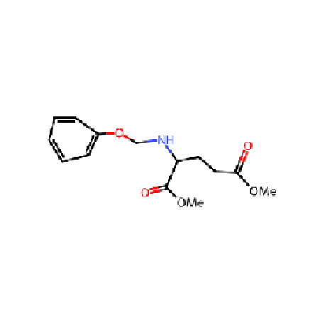 COC(=O)CCC(NCOc1ccccc1)C(=O)OC